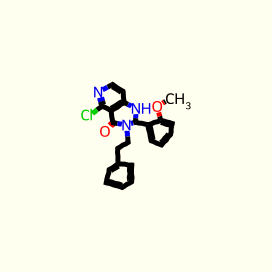 COc1ccccc1C1Nc2ccnc(Cl)c2C(=O)N1CCc1ccccc1